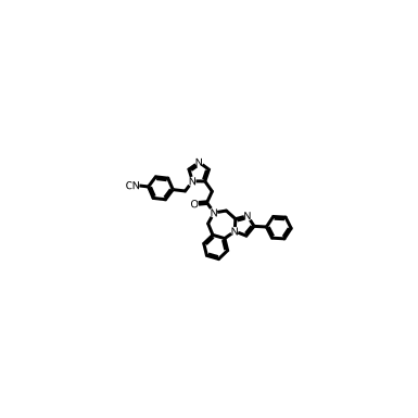 [C-]#[N+]c1ccc(Cn2cncc2CC(=O)N2Cc3ccccc3-n3cc(-c4ccccc4)nc3C2)cc1